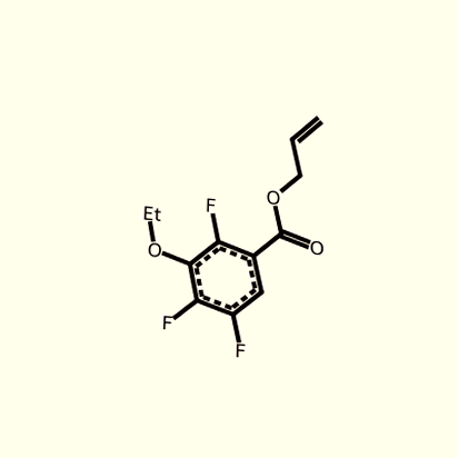 C=CCOC(=O)c1cc(F)c(F)c(OCC)c1F